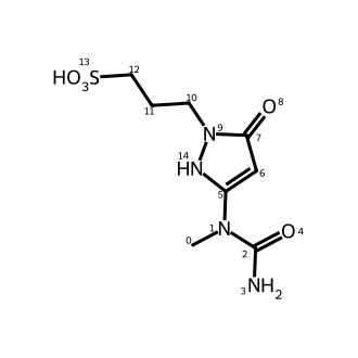 CN(C(N)=O)c1cc(=O)n(CCCS(=O)(=O)O)[nH]1